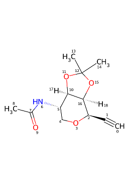 C#C[C@H]1OC[C@H](NC(C)=O)[C@H]2OC(C)(C)O[C@H]21